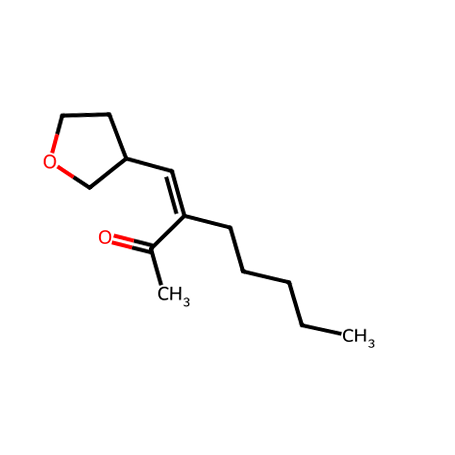 CCCCCC(=CC1CCOC1)C(C)=O